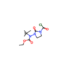 CCOC(=O)N(N1CCN(C(=O)Cl)C1=O)[Si](C)(C)C